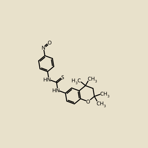 CC1(C)CC(C)(C)c2cc(NC(=S)Nc3ccc(N=O)cc3)ccc2O1